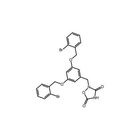 O=c1[nH]c(=O)n(Cc2cc(OCc3ccccc3Br)cc(OCc3ccccc3Br)c2)o1